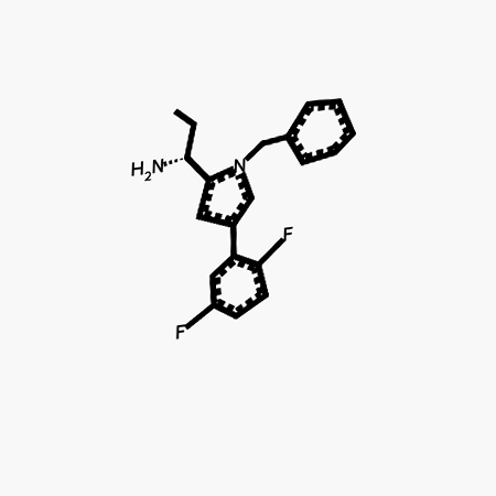 CC[C@@H](N)c1cc(-c2cc(F)ccc2F)cn1Cc1ccccc1